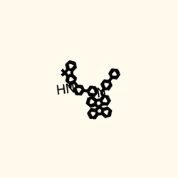 CC1(C)c2ccccc2-c2cc3c(cc21)[nH]c1ccc(-c2ccc(N(c4ccc(-c5ccccc5)cc4)c4cccc5c4-c4ccccc4C54c5ccccc5-c5ccccc54)cc2)cc13